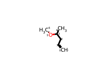 [CH]=CCC(C)OC